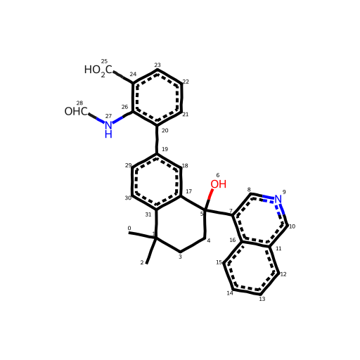 CC1(C)CCC(O)(c2cncc3ccccc23)c2cc(-c3cccc(C(=O)O)c3NC=O)ccc21